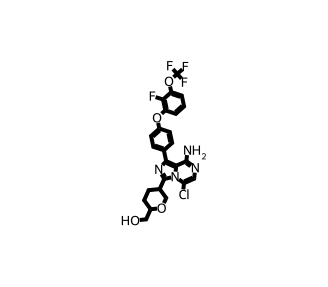 Nc1ncc(Cl)n2c(C3CCC(CO)OC3)nc(-c3ccc(Oc4cccc(OC(F)(F)F)c4F)cc3)c12